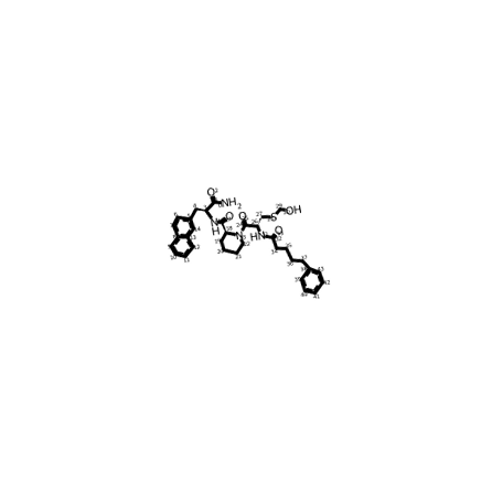 NC(=O)[C@H](Cc1ccc2ccccc2c1)NC(=O)[C@@H]1CCCCN1C(=O)[C@H](CSCO)NC(=O)CCCCc1ccccc1